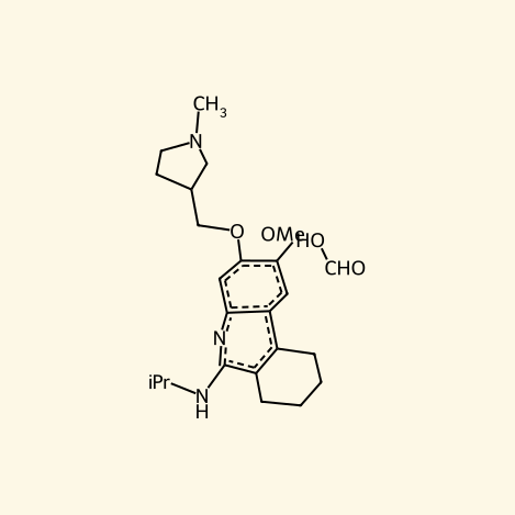 COc1cc2c3c(c(NC(C)C)nc2cc1OCC1CCN(C)C1)CCCC3.O=CO